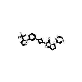 O=c1n(C2CC(c3cccc(-n4nccc4C(F)(F)F)c3)C2)nc2n1[C@H](c1cnccn1)CC2